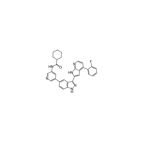 O=C(Nc1cncc(-c2ccc3[nH]nc(-c4cc5c(-c6ccccc6F)ccnc5[nH]4)c3c2)c1)C1CCCCC1